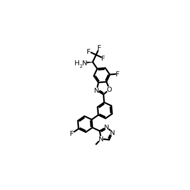 Cn1cnnc1-c1cc(F)ccc1-c1cccc(-c2nc3cc([C@@H](N)C(F)(F)F)cc(F)c3o2)c1